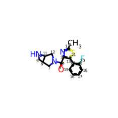 Cc1nc(C(=O)N2CC3CNC3C2)c(-c2ccccc2F)s1